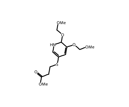 COCOC1=CC(SCCC(=O)OC)=CNC1OCOC